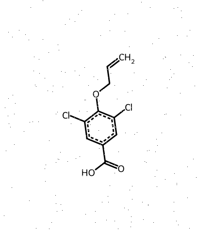 C=CCOc1c(Cl)cc(C(=O)O)cc1Cl